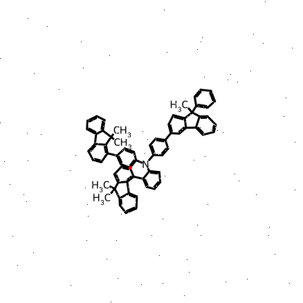 CC1(C)c2ccccc2-c2c(-c3ccccc3N(c3ccc(-c4ccc5c(c4)-c4ccccc4C5(C)c4ccccc4)cc3)c3ccc(-c4cccc5c4C(C)(C)c4ccccc4-5)cc3)cccc21